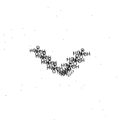 N.N.N.N.N.N.[O]=[Mo](=[O])([OH])[OH].[O]=[Mo](=[O])([OH])[OH].[O]=[Mo](=[O])([OH])[OH].[O]=[Mo](=[O])([OH])[OH].[O]=[Mo](=[O])([OH])[OH].[O]=[Mo](=[O])([OH])[OH].[O]=[Mo](=[O])([OH])[OH]